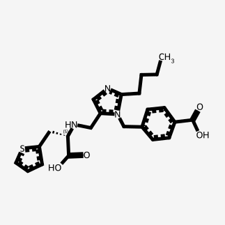 CCCCc1ncc(CN[C@@H](Cc2cccs2)C(=O)O)n1Cc1ccc(C(=O)O)cc1